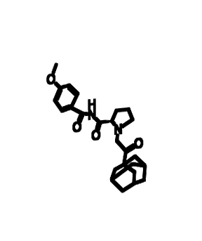 COc1ccc(C(=O)NC(=O)[C@H]2CCCN2CC(=O)C23CC4CC(CC(C4)C2)C3)cc1